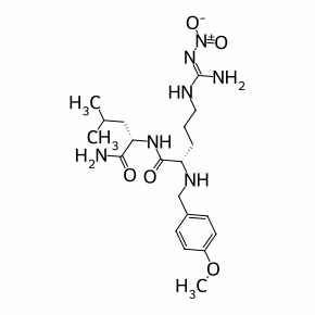 COc1ccc(CN[C@@H](CCCN/C(N)=N/[N+](=O)[O-])C(=O)N[C@@H](CC(C)C)C(N)=O)cc1